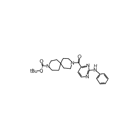 CC(C)(C)OC(=O)N1CCC2(CC1)CCN(C(=O)c1ccnc(Nc3ccccc3)n1)CC2